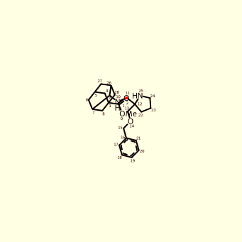 COC(=O)C12CC3CC(C1)C(NCC1(COCc4ccccc4)CCCN1)C(C3)C2